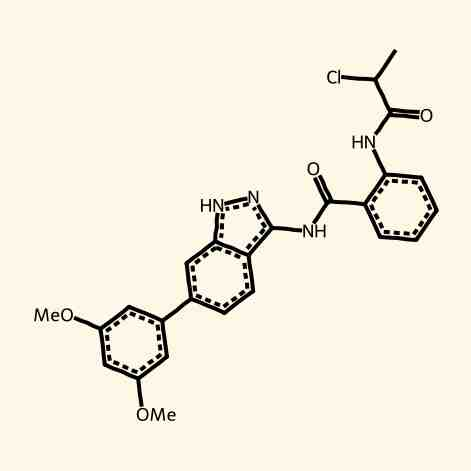 COc1cc(OC)cc(-c2ccc3c(NC(=O)c4ccccc4NC(=O)C(C)Cl)n[nH]c3c2)c1